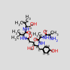 CC(C)[C@H](NC(=O)CC[C@H](O)[C@H](Cc1ccc(O)cc1)NC(=O)[C@H](C)NC(=O)[C@H](C)N)C(=O)N[C@H](CO)C(C)C